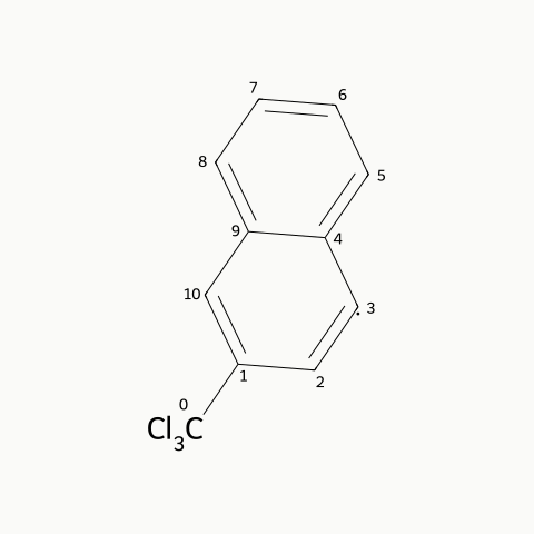 ClC(Cl)(Cl)c1c[c]c2ccccc2c1